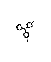 Ic1ccc(N(c2ccccc2)c2ccc(I)cc2)cc1